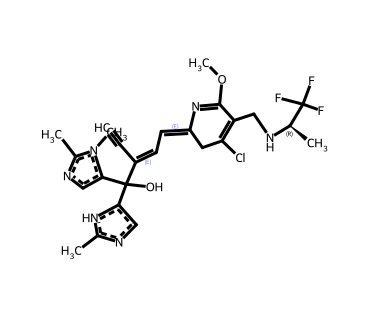 C#C/C(=C\C=C1/CC(Cl)=C(CN[C@H](C)C(F)(F)F)C(OC)=N1)C(O)(c1cnc(C)[nH]1)c1cnc(C)n1C